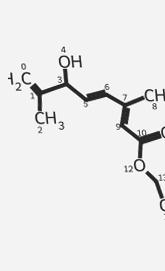 C=C(C)C(O)C=CC(C)=CC(=O)OCC